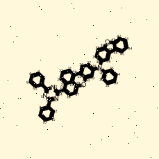 c1ccc(-c2nc(-c3ccccc3)nc(-c3ccc4c5c(cccc35)-c3ccc(N(c5ccccc5)c5ccc6oc7ccccc7c6c5)cc3O4)n2)cc1